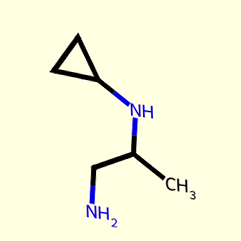 CC(CN)NC1CC1